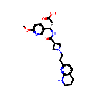 COc1ccc([C@H](CC(=O)O)NC(=O)C2CN(CCc3ccc4c(n3)NCCC4)C2)cn1